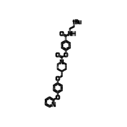 CC(C)(C)CCNC(=O)c1ccc(OC(=O)N2CCC(COc3ccc(Oc4ccccn4)cc3)CC2)cc1